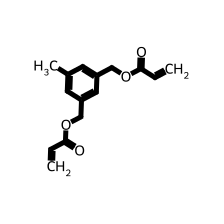 C=CC(=O)OCc1cc(C)cc(COC(=O)C=C)c1